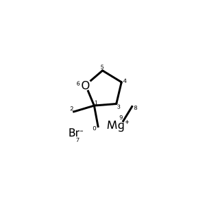 CC1(C)CCCO1.[Br-].[CH3][Mg+]